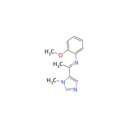 COc1ccccc1N=C(C)c1cncn1C